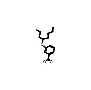 CCCCC(CCC)Oc1cccc(C([O])=O)c1